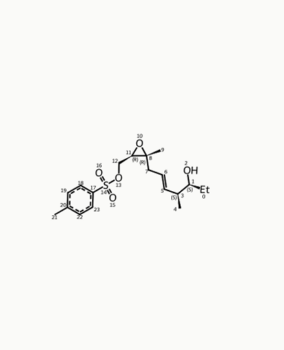 CC[C@H](O)[C@@H](C)C=CC[C@@]1(C)O[C@@H]1COS(=O)(=O)c1ccc(C)cc1